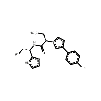 CC(C)C[C@H](NC(=O)[C@@H](CC(=O)O)n1ccc(-c2ccc(C#N)cc2)c1)c1ncc[nH]1